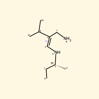 CC[C@@H](C)N/C=C(\CN)C(C)C